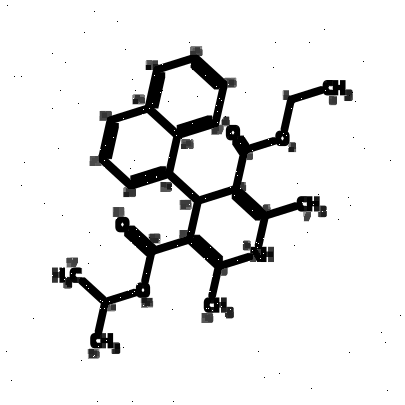 CCOC(=O)C1=C(C)NC(C)=C(C(=O)OC(C)C)C1c1cccc2ccccc12